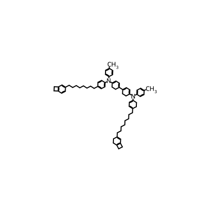 Cc1ccc(N(C2=CC=C(CCCCCCCCC3=CC4=C(CC3)CC4)CC2)C2=CC=C(C3=CC=C(N(c4ccc(C)cc4)c4ccc(CCCCCCCCc5ccc6c(c5)CC6)cc4)CC3)CC2)cc1